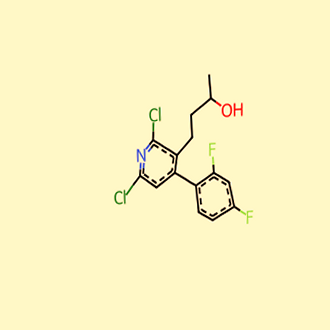 CC(O)CCc1c(-c2ccc(F)cc2F)cc(Cl)nc1Cl